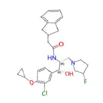 O=C(CC1Cc2ccccc2C1)N[C@H](CN1CCC(F)C1)[C@H](O)c1ccc(OC2CC2)c(Cl)c1